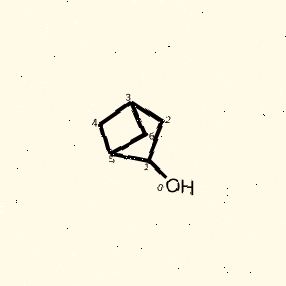 OC1CC2CC1C2